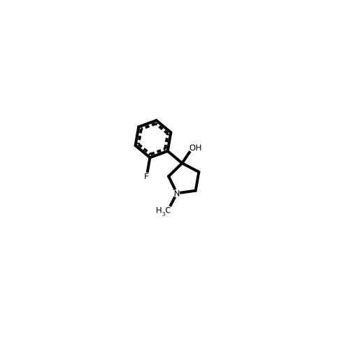 CN1CCC(O)(c2ccccc2F)C1